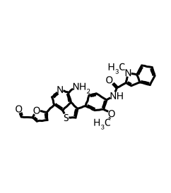 COc1cc(-c2csc3c(-c4ccc(C=O)o4)cnc(N)c23)ccc1NC(=O)c1cc2ccccc2n1C